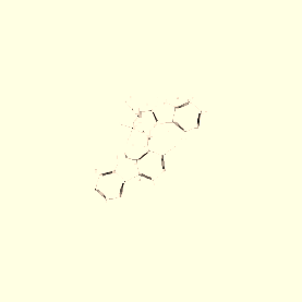 Cc1ccc2c(oc3ccccc32)c1N1c2c(oc3ccccc23)N(C)C1(C)C